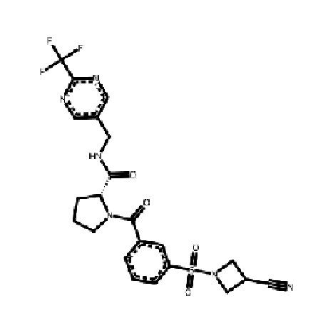 N#CC1CN(S(=O)(=O)c2cccc(C(=O)N3CCC[C@@H]3C(=O)NCc3cnc(C(F)(F)F)nc3)c2)C1